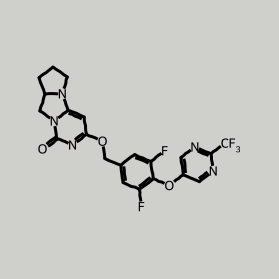 O=c1nc(OCc2cc(F)c(Oc3cnc(C(F)(F)F)nc3)c(F)c2)cc2n1CC1CCCN21